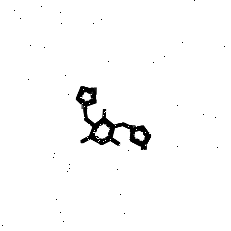 Cc1cc(C)c(Cn2ccnc2)c(C)c1Cn1ccnc1